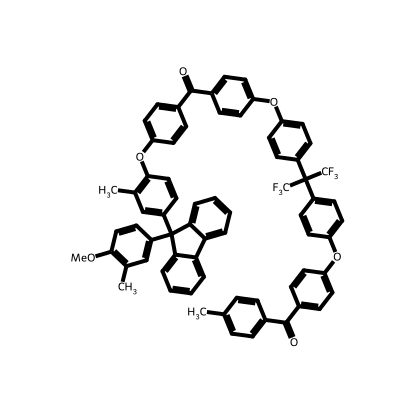 COc1ccc(C2(c3ccc(Oc4ccc(C(=O)c5ccc(Oc6ccc(C(c7ccc(Oc8ccc(C(=O)c9ccc(C)cc9)cc8)cc7)(C(F)(F)F)C(F)(F)F)cc6)cc5)cc4)c(C)c3)c3ccccc3-c3ccccc32)cc1C